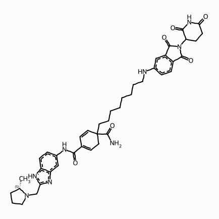 C[C@H]1CCCN1Cc1nc2cc(NC(=O)C3=CCC(CCCCCCCCNc4ccc5c(c4)C(=O)N(C4CCC(=O)NC4=O)C5=O)(C(N)=O)C=C3)ccc2[nH]1